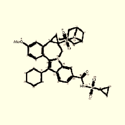 COc1ccc2c(c1)C1CC1(S(=O)(=O)N1C3CC1CN(C)C3)Cn1c-2c(C2CCCCC2)c2ccc(C(=O)NS(=O)(=O)C3CC3)cc21